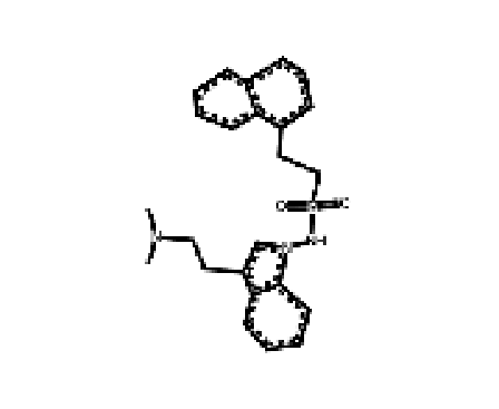 CN(C)CCc1cn(NS(=O)(=O)CCc2cccc3ccccc23)c2ccccc12